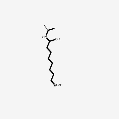 CCCCCCCCCCCCCCCC(O)N[C@H](C)I